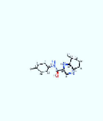 CC1CCC(NC(=O)c2cnc3c(n2)C(C)CCC3)CC1